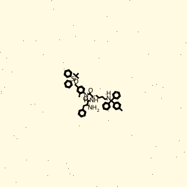 Cc1ccc(C(NCCCC[C@H](NC(=O)[C@@H](N)Cc2ccccc2)C(=O)Nc2ccc(CO[Si](c3ccccc3)(c3ccccc3)C(C)(C)C)cc2C)(c2ccccc2)c2ccccc2)cc1